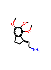 COc1cc2c(c(OC)c1OC)C(=CCN)CC2